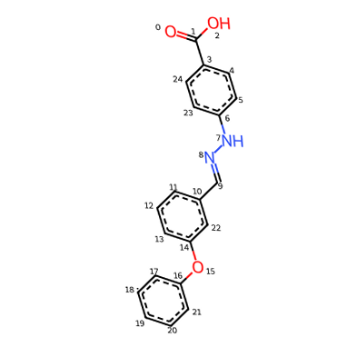 O=C(O)c1ccc(N/N=C/c2cccc(Oc3c[c]ccc3)c2)cc1